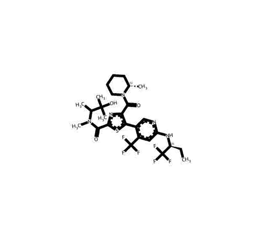 CC[C@H](Nc1cc(C(F)(F)F)c(-c2sc(C(=O)N(C)C(C)C(C)(C)O)nc2C(=O)N2CCCC[C@@H]2C)cn1)C(F)(F)F